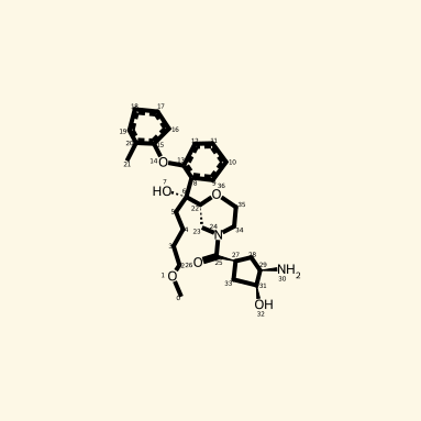 COCCCC[C@@](O)(c1ccccc1Oc1ccccc1C)[C@H]1CN(C(=O)[C@H]2C[C@@H](N)[C@@H](O)C2)CCO1